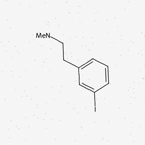 CNCCc1cccc(I)c1